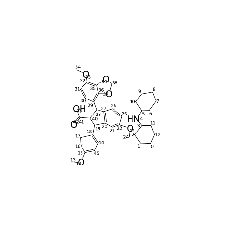 C1CCC(NC2CCCCC2)CC1.COc1ccc(C2c3cc(OC)ccc3C(c3ccc(OC)c4c3OCO4)C2C(=O)O)cc1